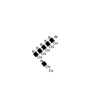 C#N.C#N.C#N.C#N.C#N.C#N.[Co].[W]